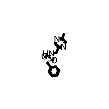 [CH2]c1cnc(CNS(=O)(=O)Cc2ccccc2)cn1